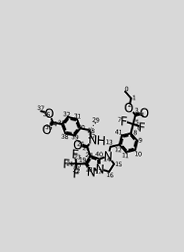 CCOC(=O)C(F)(F)c1cccc(CN2CCn3nc(C(F)(F)F)c(C(=O)N[C@@H](C)c4ccc(C(=O)OC)cc4)c32)c1